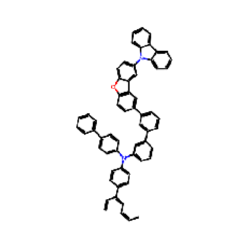 C=C/C(=C\C=C/C)c1ccc(N(c2ccc(-c3ccccc3)cc2)c2cccc(-c3cccc(-c4ccc5oc6ccc(-n7c8ccccc8c8ccccc87)cc6c5c4)c3)c2)cc1